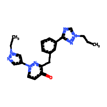 CCCn1cnc(-c2cccc(Cc3nn(-c4cnn(CC)c4)ccc3=O)c2)n1